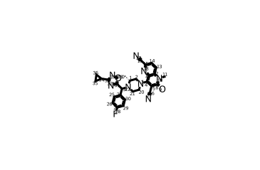 C[C@@H]1CN(c2c(C#N)c(=O)n(C)c3ccc(C#N)nc23)CCN1C(c1ccc(F)cc1)c1nc(C2CC2)no1